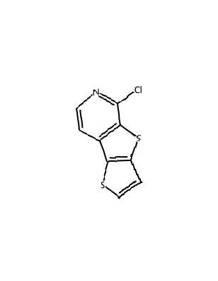 Clc1nccc2c1sc1ccsc12